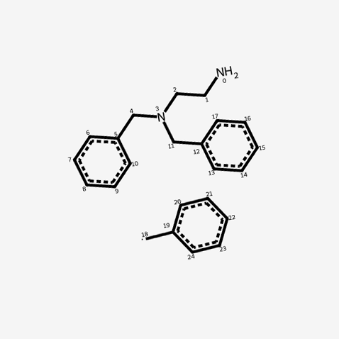 NCCN(Cc1ccccc1)Cc1ccccc1.[CH2]c1ccccc1